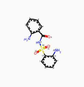 Nc1ccccc1C(=O)NS(=O)(=O)c1ccccc1N